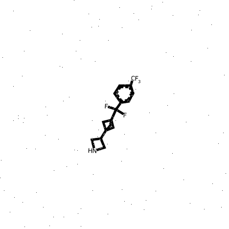 FC(F)(F)c1ccc(C(F)(F)C23CC(C4CNC4)(C2)C3)cc1